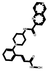 O=C(/C=C/C1=CCCC=C1N1CCC(NC(=O)c2ccc3cnccc3n2)CC1)NO